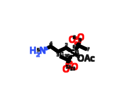 CC(=O)O[Si](CCCN)(C1(C)OO1)C1(C)OO1